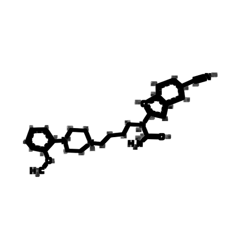 COc1ccccc1N1CCN(CCCCN(C(N)=O)c2cc3cc(C#N)ccc3o2)CC1